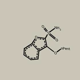 CCCCCOc1c(S(N)(=O)=O)oc2ccccc12